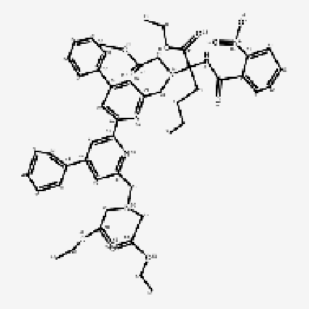 CCCCC(NC(=O)c1ccccc1[N+](=O)[O-])(C(=O)OCC)N(CC(=O)OC)Cc1cc(-c2ccccc2)cc(-c2cc(-c3ccccc3)cc(CN(CC(=O)OCC)CC(=O)OCC)n2)n1